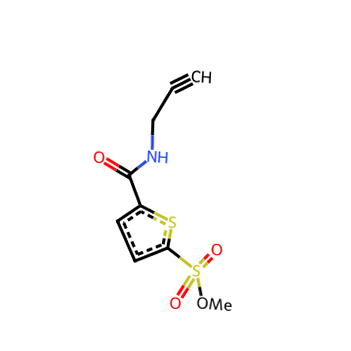 C#CCNC(=O)c1ccc(S(=O)(=O)OC)s1